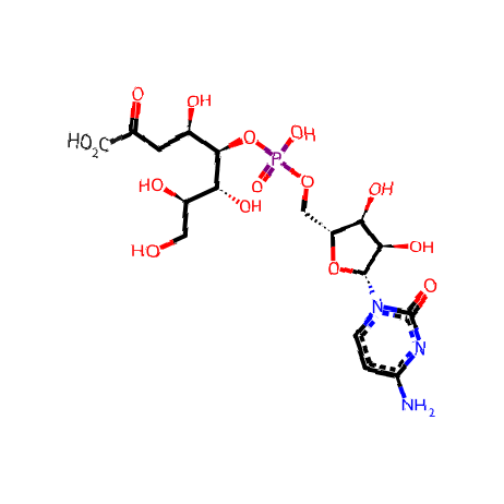 Nc1ccn([C@@H]2O[C@H](COP(=O)(O)O[C@@H]([C@H](O)[C@H](O)CO)[C@H](O)CC(=O)C(=O)O)[C@@H](O)[C@H]2O)c(=O)n1